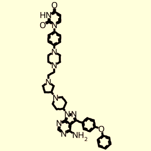 Nc1ncnc2c1c(-c1ccc(Oc3ccccc3)cc1)nn2C1CCN(C2CCN(CCN3CCN(c4ccc(-n5ccc(=O)[nH]c5=O)cc4)CC3)C2)CC1